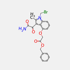 Cc1c(C(=O)C(N)=O)c2c(OCC(=O)OCc3ccccc3)cccc2n1CBr